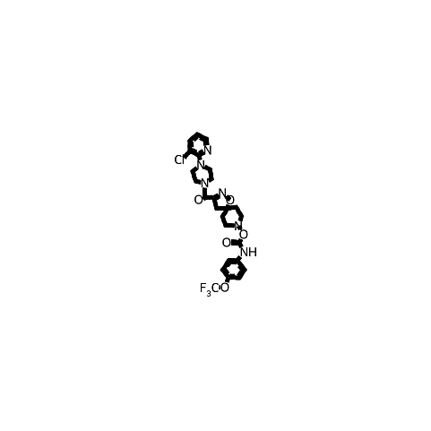 O=C(Nc1ccc(OC(F)(F)F)cc1)ON1CCC2(CC1)CC(C(=O)N1CCN(c3ncccc3Cl)CC1)=NO2